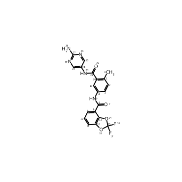 Cc1ccc(NC(=O)c2cccc3c2OC(F)(F)O3)cc1C(=O)Nc1cnc(N)nc1